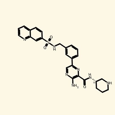 Nc1ncc(-c2cccc(CNS(=O)(=O)c3ccc4cccnc4c3)c2)nc1C(=O)N[C@H]1CCCNC1